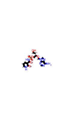 Nc1ncnc2c1ncn2CO[C@@H](CCO)COS(=O)(=O)NC(=O)c1ccc[nH]c1=O